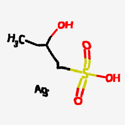 CC(O)CS(=O)(=O)O.[Ag]